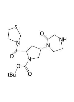 CC(C)(C)OC(=O)N1C[C@@H](N2CCNCC2=O)C[C@H]1C(=O)N1CCSC1